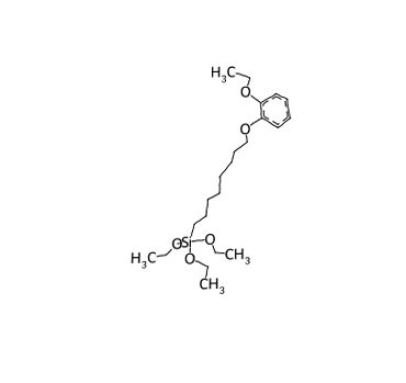 CCOc1ccccc1OCCCCCCCC[Si](OCC)(OCC)OCC